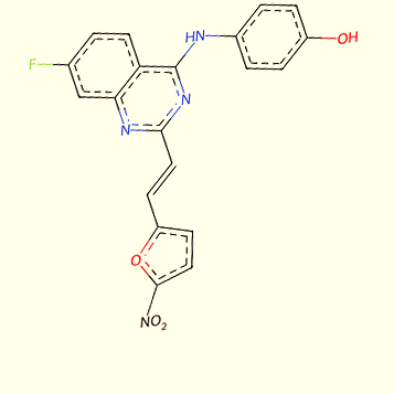 O=[N+]([O-])c1ccc(C=Cc2nc(Nc3ccc(O)cc3)c3ccc(F)cc3n2)o1